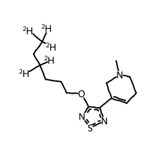 [2H]C([2H])([2H])CC([2H])([2H])CCCOc1nsnc1C1=CCCN(C)C1